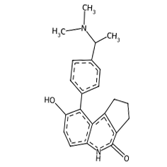 CC(c1ccc(-c2c(O)ccc3[nH]c(=O)c4c(c23)CCC4)cc1)N(C)C